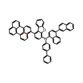 c1ccc(-c2ccc(N(c3ccc(-c4ccc5ccccc5c4)c4ccccc34)c3ccc(-c4ccc(-c5cccc6cccc(-c7ccccc7)c56)cc4)c4c3oc3ccccc34)cc2)cc1